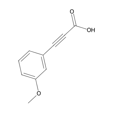 COc1cccc(C#CC(=O)O)c1